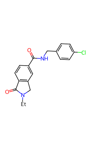 CCN1Cc2cc(C(=O)NCc3ccc(Cl)cc3)ccc2C1=O